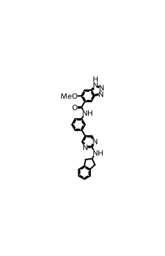 COc1cc2[nH]nnc2cc1C(=O)Nc1cccc(-c2cnc(NC3Cc4ccccc4C3)nc2)c1